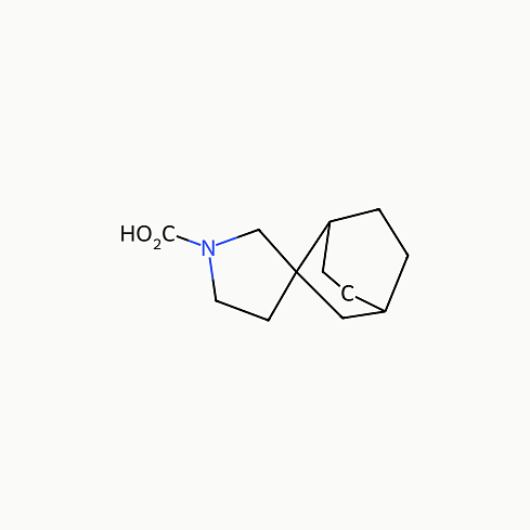 O=C(O)N1CCC2(CC3CCC2CC3)C1